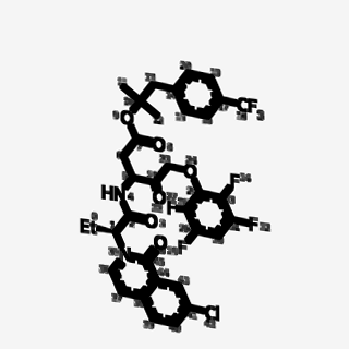 CC[C@@H](C(=O)NC(CC(=O)OC(C)(C)Cc1ccc(C(F)(F)F)cc1)C(=O)COc1c(F)c(F)cc(F)c1F)n1ccc2ccc(Cl)cc2c1=O